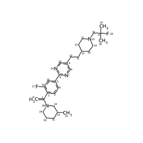 C=C(c1ccc(-c2ncc(CCC3CCN(CC(C)(C)F)CC3)cn2)cc1F)N1CCCC(C)C1